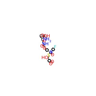 CCC(CC(=O)CNC(=O)COc1ccc([C@@H]2[C@@H](SCC(O)c3ccc4c(c3)OCO4)C(=O)N2c2ccc(F)cc2)cc1)[C@@H](N)C(=O)O